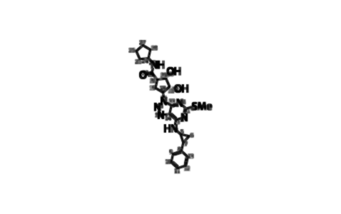 CSc1nc(NC2CC2c2ccccc2)c2nnn([C@H]3C[C@@H](C(=O)NC4CCCC4)[C@H](O)[C@@H]3O)c2n1